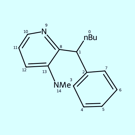 CCCCC(c1ccccc1)c1ncccc1NC